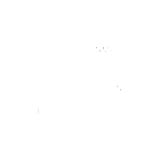 CNc1oc2ccc(C(C)(C)C)cc2c(=O)c1C(N)=O